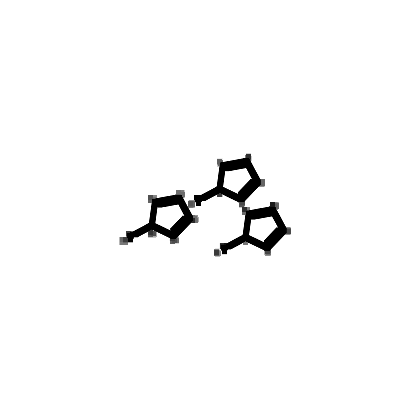 [Y][CH]1C=CC=C1.[Y][CH]1C=CC=C1.[Y][CH]1C=CC=C1